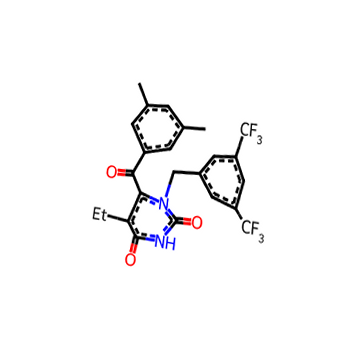 CCc1c(C(=O)c2cc(C)cc(C)c2)n(Cc2cc(C(F)(F)F)cc(C(F)(F)F)c2)c(=O)[nH]c1=O